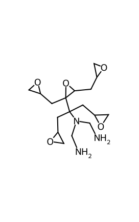 NCN(CN)C(CC1CO1)(CC1CO1)C1(CC2CO2)OC1CC1CO1